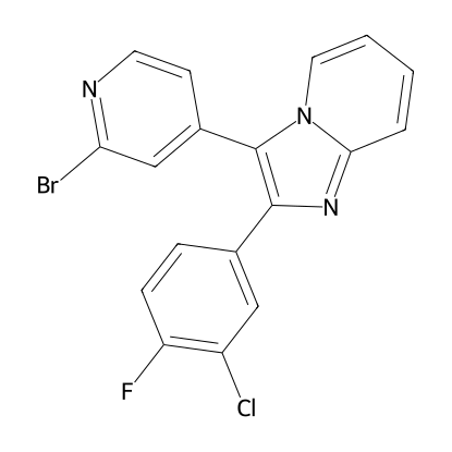 Fc1ccc(-c2nc3ccccn3c2-c2ccnc(Br)c2)cc1Cl